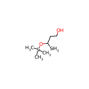 C[Si](C)(C)OC([SiH3])CCO